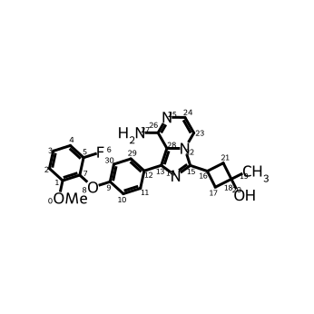 COc1cccc(F)c1Oc1ccc(-c2nc(C3CC(C)(O)C3)n3ccnc(N)c23)cc1